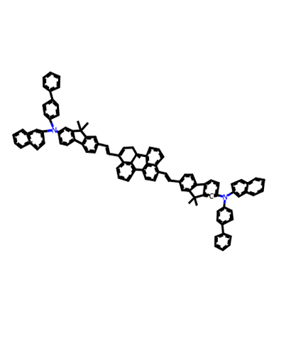 CC1(C)c2cc(/C=C/C3=CCC4(C)c5c3cccc5-c3ccc(/C=C/c5ccc6c(c5)C(C)(C)c5cc(N(c7ccc(-c8ccccc8)cc7)c7ccc8ccccc8c7)ccc5-6)c5cccc4c35)ccc2-c2ccc(N(c3ccc(-c4ccccc4)cc3)c3ccc4ccccc4c3)cc21